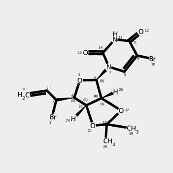 C=CC(Br)[C@H]1O[C@@H](n2cc(Br)c(=O)[nH]c2=O)[C@@H]2OC(C)(C)O[C@@H]21